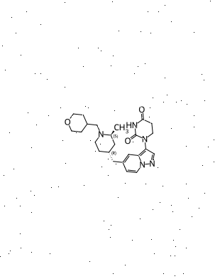 C[C@H]1C[C@H](Cc2ccn3ncc(N4CCC(=O)NC4=O)c3c2)CCN1CC1CCOCC1